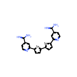 N=C(N)c1ccnc(-c2ccc(-c3ccc(-c4cc(C(=N)N)ccn4)[se]3)[se]2)c1